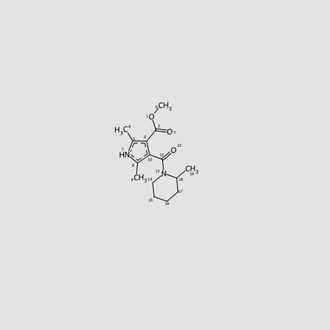 COC(=O)c1c(C)[nH]c(C)c1C(=O)N1CCCCC1C